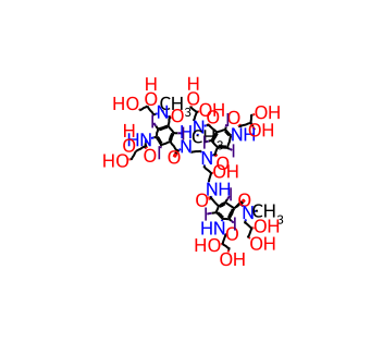 CN(CC(O)CO)C(=O)c1c(I)c(NC(=O)C(O)CO)c(I)c(C(=O)NCCN(CC(O)CNC(=O)c2c(I)c(NC(=O)C(O)CO)c(I)c(C(=O)N(C)CC(O)CO)c2I)C(=O)c2c(I)c(NC(=O)C(O)CO)c(I)c(C(=O)N(C)CC(O)CO)c2I)c1I